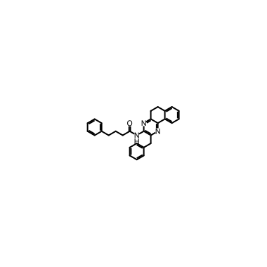 O=C(CCCc1ccccc1)Nc1nc2c(nc1Cc1ccccc1)-c1ccccc1CC2